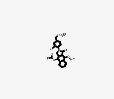 CCCOc1c2c(c(OC(F)F)c3ccccc13)CN(c1ccc(CC(=O)OCC)cc1Cl)C2=O